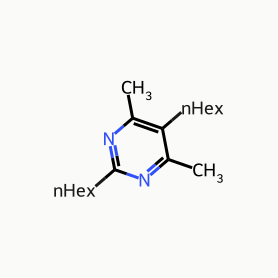 CCCCCCc1nc(C)c(CCCCCC)c(C)n1